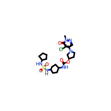 Cn1ncc(N2CC[C@@H](OC(=O)NC3CCC(NS(=O)(=O)NC4CCCC4)CC3)C2)c(Cl)c1=O